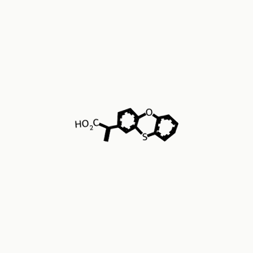 C=C(C(=O)O)c1ccc2c(c1)Sc1ccccc1O2